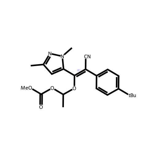 COC(=O)OC(C)O/C(=C(/C#N)c1ccc(C(C)(C)C)cc1)c1cc(C)nn1C